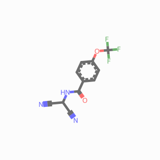 N#CC(C#N)NC(=O)c1ccc(OC(F)(F)F)cc1